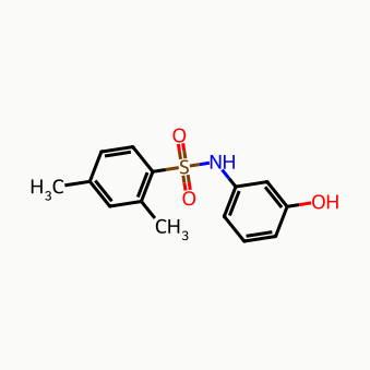 Cc1ccc(S(=O)(=O)Nc2cccc(O)c2)c(C)c1